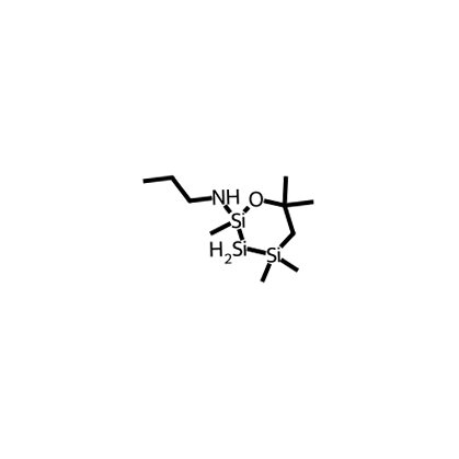 CCCN[Si]1(C)OC(C)(C)C[Si](C)(C)[SiH2]1